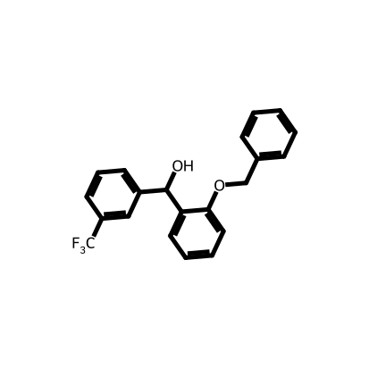 OC(c1cccc(C(F)(F)F)c1)c1ccccc1OCc1ccccc1